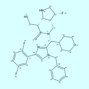 O=C(CCS)N(C[C@@H]1CNC[C@@H]1F)[C@@H](c1nc(-c2cc(F)ccc2F)cn1Cc1ccccc1)C1CCOCC1